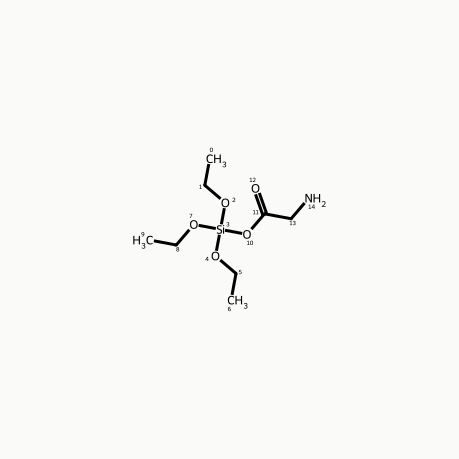 CCO[Si](OCC)(OCC)OC(=O)CN